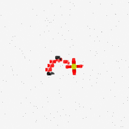 C.O.O.O.O.O.O=S(=O)([O-])[O-].[Cu+2]